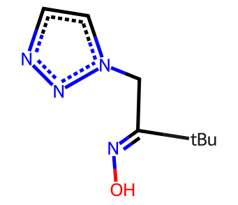 CC(C)(C)C(Cn1ccnn1)=NO